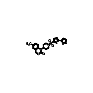 Cc1ccc2c(c1)COC(=O)N2C1CCN(S(=O)(=O)c2ccc(-c3ccno3)s2)CC1